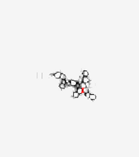 CCC1=C(c2ccc3sc4ccccc4c3c2)C(n2c3ccc(-n4c5ccccc5c5c6c(ccc54)C=CC(C)C6)cc3c3c4ccccc4ccc32)=Nc2ccccc2C1